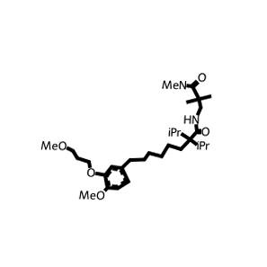 CNC(=O)C(C)(C)CNC(=O)C(CCCCCCc1ccc(OC)c(OCCCOC)c1)(C(C)C)C(C)C